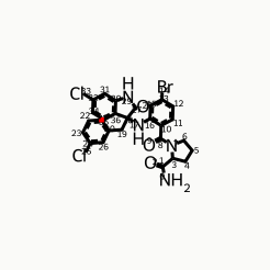 NC(=O)C1CCCN1C(=O)c1ccc(Br)cc1NC1(Cc2cccc(Cl)c2)C(=O)Nc2cc(Cl)ccc21